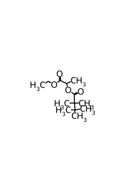 CCOC(=O)C(C)OC(=O)C(C)(C)C(C)(C)C